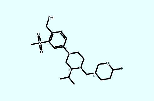 CC(C)[C@H]1CN(c2ccc(CO)c(S(C)(=O)=O)c2)CCN1C[C@@H]1CCC(F)OC1